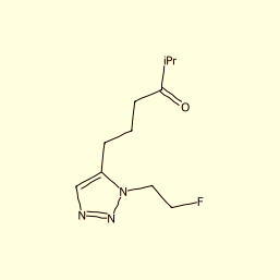 CC(C)C(=O)CCCc1cnnn1CCF